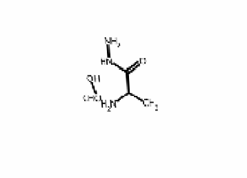 CC(N)C(=O)NN.O=CO